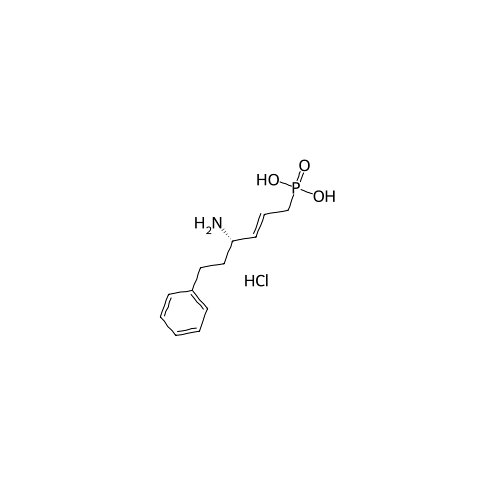 Cl.N[C@H](/C=C/CP(=O)(O)O)CCc1ccccc1